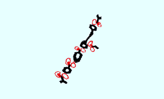 C=CC(=O)Oc1cc(OC(=O)c2ccc(OC(=O)c3ccc(OC(=O)C(=C)C)cc3)cc2)ccc1C#Cc1ccc(OC(=O)C(=C)C)cc1